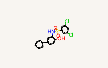 O=S(=O)(Nc1cc(-c2ccccc2)ccc1O)c1cc(Cl)cc(Cl)c1